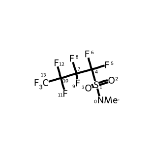 C[N]S(=O)(=O)C(F)(F)C(F)(F)C(F)(F)C(F)(F)F